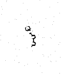 O=C(N[C@H]1CN2CCC1CC2)c1ccc(-c2ccc(Cl)s2)s1